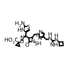 N=C(NCc1cnn(CC2C(/C(=N\OC3(C(=O)O)CC3)C3=CSC(N)N3)C(=O)N2S)n1)NC1CCC1